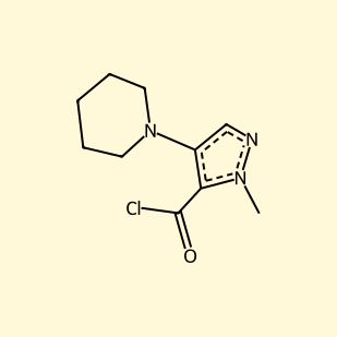 Cn1ncc(N2CCCCC2)c1C(=O)Cl